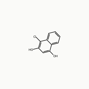 Oc1cc(O)c2ccccc2c1Cl